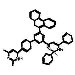 CC1=CC(C2=CCC(c3cc(C4=N[C@](C)(C5=CC=CCC5)NC(C5=CCCC=C5)=C4)cc(C4=c5ccccc5=C5C=CC=CC5C4)c3)C=C2)NC(C)=N1